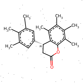 Cc1cc([C@H]2CC(=O)Oc3c(C)c(C)c(C)c(C)c32)cc(C)c1C